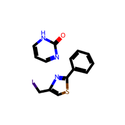 ICc1csc(-c2ccccc2)n1.O=c1nccc[nH]1